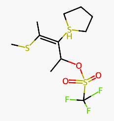 CS/C(C)=C(\C(C)OS(=O)(=O)C(F)(F)F)[SH]1CCCC1